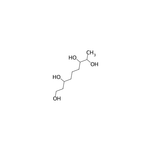 CC(O)C(O)CCCC(O)CCO